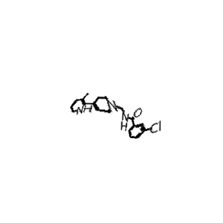 CC1=C(C2=CCN(CNC(=O)c3cccc(Cl)c3)CC2)NCC=C1